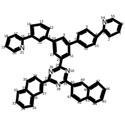 c1ccc(-c2ccc(-c3cc(-c4cccc(-c5ccccn5)c4)cc(-c4nc(-c5ccc6ccccc6c5)nc(-c5ccc6ccccc6c5)n4)c3)cc2)nc1